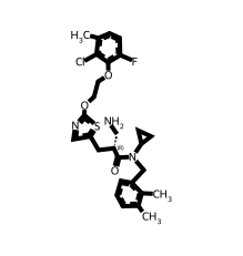 Cc1cccc(CN(C(=O)[C@@H](CN)Cc2cnc(OCCOc3c(F)ccc(C)c3Cl)s2)C2CC2)c1C